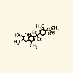 CCC(CC)(c1ccc(CC(C)C(O)C(C)(C)C)c(C)c1)c1ccc(OS(C)(=O)=O)c(C)c1